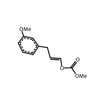 COC(=O)OC=CCc1cccc(OC)c1